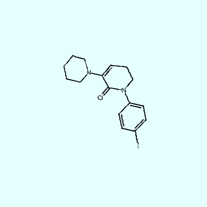 O=C1C(N2CCCCC2)=CCCN1c1ccc(I)cc1